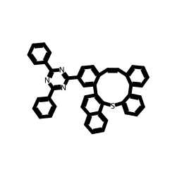 C1=C\c2ccc(-c3nc(-c4ccccc4)nc(-c4ccccc4)n3)cc2-c2ccc3ccccc3c2Sc2ccccc2-c2ccccc2/1